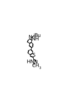 CCC(C)c1nc2ccc3cc(-c4ccc5cc(-c6cnc(C)[nH]6)sc5c4)ccc3c2[nH]1